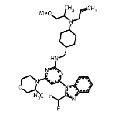 C=CCN(C(C)COC)[C@H]1CC[C@H](CNc2nc(N3CCOC[C@@H]3C)cc(-n3c(C(F)F)nc4ccccc43)n2)CC1